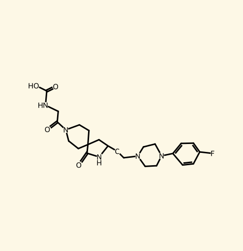 O=C(O)NCC(=O)N1CCC2(CC1)CC(CCN1CCN(c3ccc(F)cc3)CC1)NC2=O